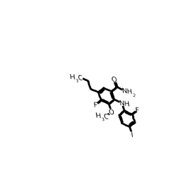 CCCc1cc(C(N)=O)c(Nc2ccc(I)cc2F)c(OC)c1F